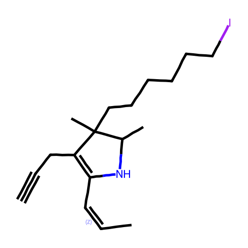 C#CCC1=C(/C=C\C)NC(C)C1(C)CCCCCCI